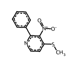 CSc1ccnc(-c2ccccc2)c1[N+](=O)[O-]